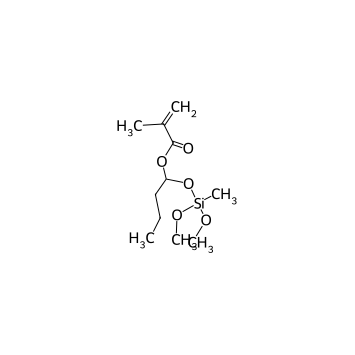 C=C(C)C(=O)OC(CCC)O[Si](C)(OC)OC